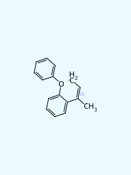 [CH2]/C=C(/C)c1ccccc1Oc1ccccc1